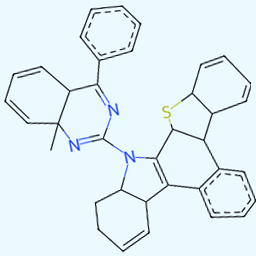 CC12C=CC=CC1C(c1ccccc1)=NC(N1C3=C(c4ccccc4C4C3SC3C=CC=CC34)C3C=CCCC31)=N2